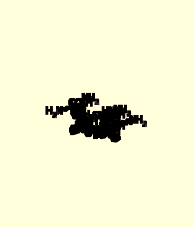 CSCC[C@H](NC(=O)[C@@H](NC(=O)C(NC(=O)[C@H](Cc1ccc(O)cc1)NC(=O)[C@H](Cc1ccccc1)NC(=O)[C@H](CCCNC(=N)N)NC(=O)CCCCCN)C(C)C)C(C)C)C(=O)N[C@@H](Cc1c[nH]c2ccccc12)C(=O)N[C@@H](CCCCN)C(=O)N[C@@H](CCCCN)C(=O)O